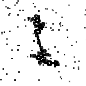 Cc1ncsc1-c1ccc(CNC(=O)[C@@H]2C[C@@H](O)CN2C(=O)[C@@H](NC(=O)COCCOCCCOc2ccc(N3C(=S)N(c4ccc(C#N)c(C(F)(F)F)c4F)C(=O)C3(C)C)cn2)C(C)(C)C)cc1